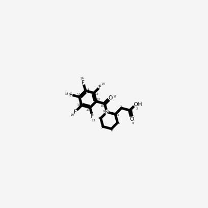 O=C(O)CC1C[C]CCN1C(=O)c1c(F)c(F)c(F)c(F)c1F